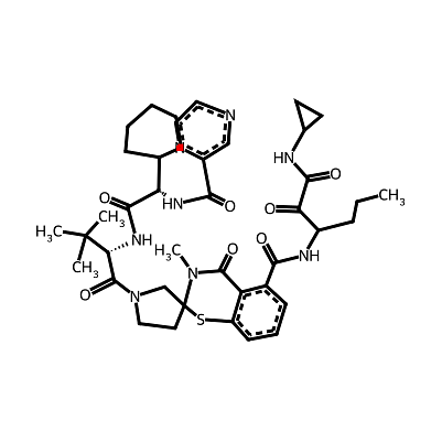 CCCC(NC(=O)c1cccc2c1C(=O)N(C)C1(CCN(C(=O)[C@@H](NC(=O)[C@@H](NC(=O)c3cnccn3)C3CCCCC3)C(C)(C)C)C1)S2)C(=O)C(=O)NC1CC1